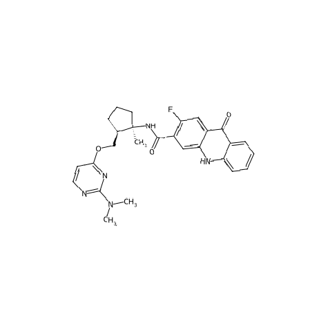 CN(C)c1nccc(OC[C@H]2CCC[C@@]2(C)NC(=O)c2cc3[nH]c4ccccc4c(=O)c3cc2F)n1